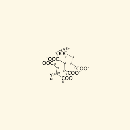 O=C([O-])CCC(=O)[O-].O=C([O-])CCC(=O)[O-].O=C([O-])CCC(=O)[O-].[Y+3].[Y+3]